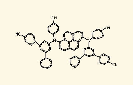 N#Cc1ccc(-c2cc(-c3ccccc3)cc(N(c3ccc(C#N)cc3)c3ccc4ccc5c(N(c6ccc(C#N)cc6)c6cc(-c7ccccc7)cc(-c7ccc(C#N)cc7)c6)ccc6ccc3c4c65)c2)cc1